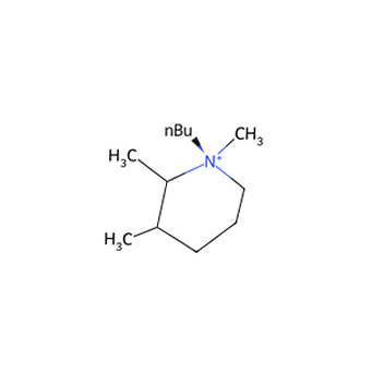 CCCC[N@@+]1(C)CCCC(C)C1C